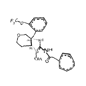 O=C(NC(=S)N[C@@]1(c2ccccc2OC(F)(F)F)COCC[C@H]1CO)c1ccccc1